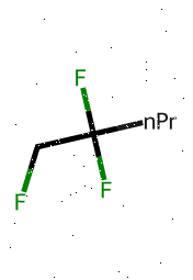 CCCC(F)(F)CF